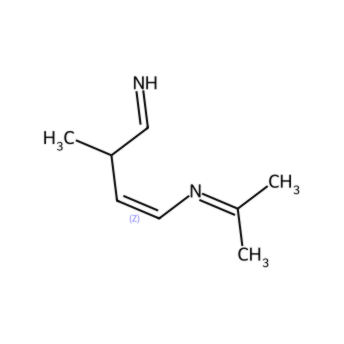 CC(C)=N/C=C\C(C)C=N